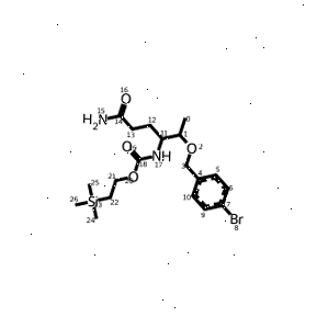 CC(OCc1ccc(Br)cc1)C(CCC(N)=O)NC(=O)OCC[Si](C)(C)C